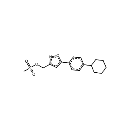 CS(=O)(=O)OCc1cc(-c2ccc(C3CCCCC3)cc2)on1